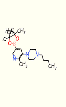 CCCCN1CCN(c2cc(B3OC(C)(C)C(C)(C)O3)cnc2C)CC1